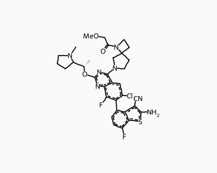 COCC(=O)N1CCC12CCN(c1nc(O[C@@H](C)C3CCCN3C)nc3c(F)c(-c4ccc(F)c5sc(N)c(C#N)c45)c(Cl)cc13)C2